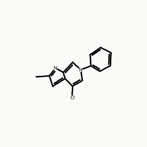 Cc1cc2c(Cl)cn(-c3ccccc3)cc-2n1